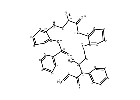 C=CC(=O)N(c1ccccc1)C(C)COc1ccccc1OC(=O)C(C)CNc1ccccc1OC(=O)c1ccccc1